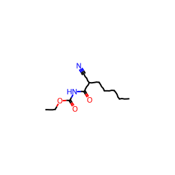 CCCCCC(C#N)C(=O)NC(=O)OCC